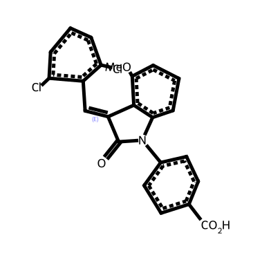 COc1cccc2c1/C(=C\c1c(Cl)cccc1Cl)C(=O)N2c1ccc(C(=O)O)cc1